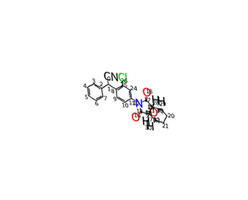 N#CC(c1ccccc1)c1ccc(N2C(=O)[C@@H]3[C@H](C2=O)[C@H]2CC[C@@H]3O2)cc1Cl